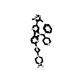 Cc1nnn(C)c1-c1cnc2c3ccc(N4CC(N5CCS(=O)(=O)CC5)C4)nc3n([C@H](c3ccccc3)C3CCOCC3)c2c1